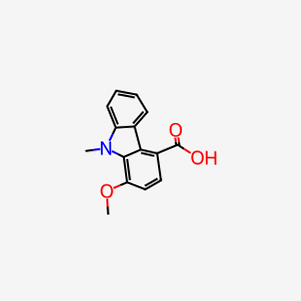 COc1ccc(C(=O)O)c2c3ccccc3n(C)c12